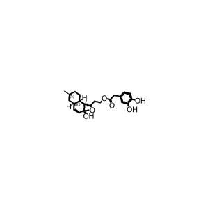 C[C@H]1CC[C@H]2[C@@H](C=C[C@@](C)(O)[C@]2(C)C(=O)CCOC(=O)Cc2ccc(O)c(O)c2)C1